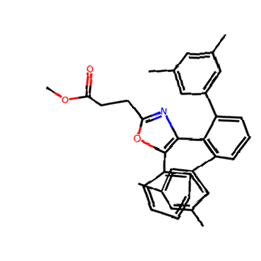 COC(=O)CCc1nc(-c2c(-c3cc(C)cc(C)c3)cccc2-c2cc(C)cc(C)c2)c(-c2ccccc2)o1